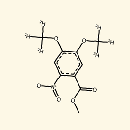 [2H]C([2H])([2H])Oc1cc(C(=O)OC)c([N+](=O)[O-])cc1OC([2H])([2H])[2H]